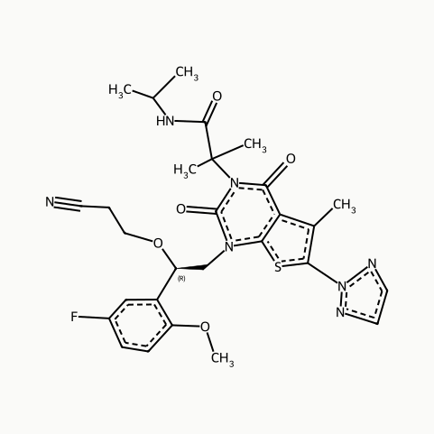 COc1ccc(F)cc1[C@H](Cn1c(=O)n(C(C)(C)C(=O)NC(C)C)c(=O)c2c(C)c(-n3nccn3)sc21)OCCC#N